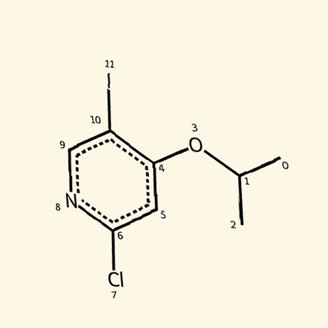 CC(C)Oc1cc(Cl)ncc1I